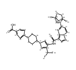 O=C(O)c1ccc(N2CCC(n3cc(NC(=O)c4cnn5ccc(N6C[C@H]7C[C@@H]6CO7)nc45)c(C(F)F)n3)CC2)cc1